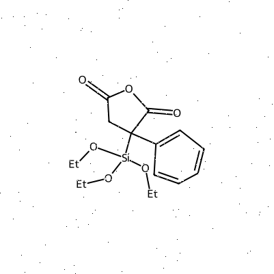 CCO[Si](OCC)(OCC)C1(c2ccccc2)CC(=O)OC1=O